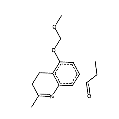 CCC=O.COCOc1cccc2c1CCC(C)=N2